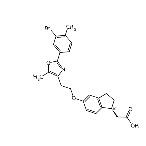 Cc1ccc(-c2nc(CCOc3ccc4c(c3)CC[C@H]4CC(=O)O)c(C)o2)cc1Br